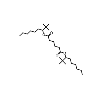 CCCCCCC(OC(=O)CCCCC(=O)OC(CCCCCC)C(C)(C)C)C(C)(C)C